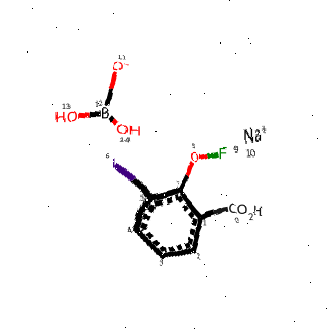 O=C(O)c1cccc(I)c1OF.[Na+].[O-]B(O)O